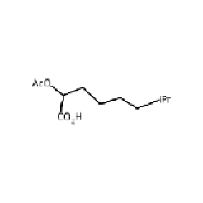 CC(=O)OC(CCCCC(C)C)C(=O)O